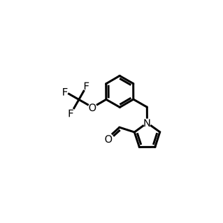 O=Cc1cccn1Cc1cccc(OC(F)(F)F)c1